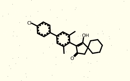 Cc1cc(-c2ccc(Cl)cc2)cc(C)c1C1=C(O)C2(CCCCC2)CC1=O